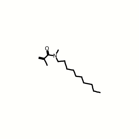 C=C(C)C(=O)N(C)CCCCCCCCCC